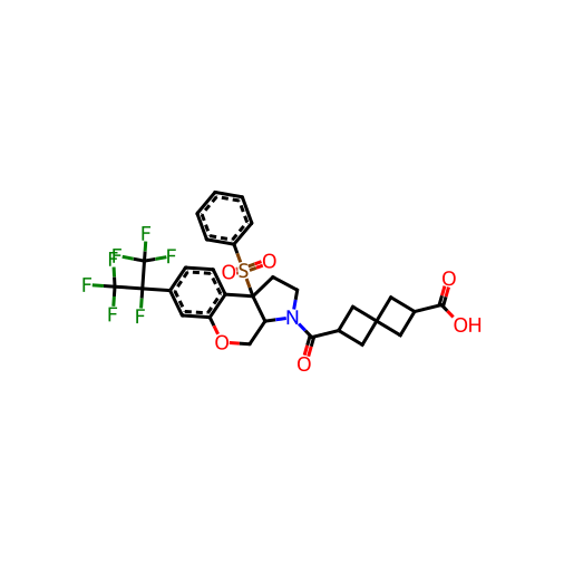 O=C(O)C1CC2(C1)CC(C(=O)N1CCC3(S(=O)(=O)c4ccccc4)c4ccc(C(F)(C(F)(F)F)C(F)(F)F)cc4OCC13)C2